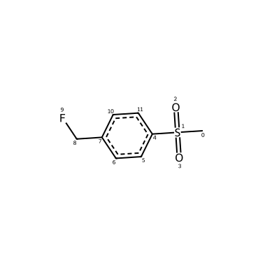 CS(=O)(=O)c1ccc(CF)cc1